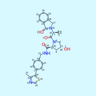 CC[C@@H](C(=O)N1C[C@H](O)C[C@H]1C(=O)NCc1ccc(-c2scnc2C)cc1)N1Cc2ccccc2C1O